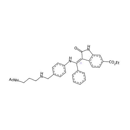 CCOC(=O)c1ccc2c(c1)NC(=O)/C2=C(\Nc1ccc(CNCCCNC(C)=O)cc1)c1ccccc1